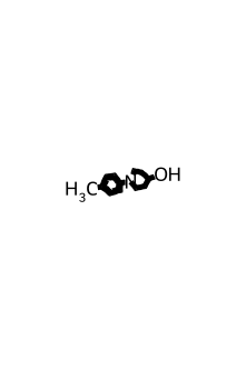 Cc1ccc(N2CCC(O)CC2)cc1